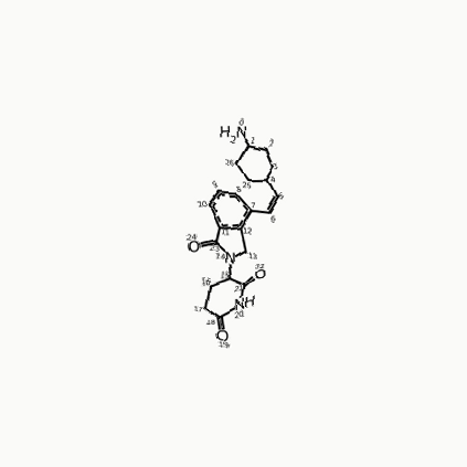 NC1CCC(/C=C\c2cccc3c2CN(C2CCC(=O)NC2=O)C3=O)CC1